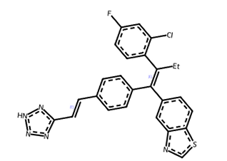 CC/C(=C(/c1ccc(/C=C/c2nn[nH]n2)cc1)c1ccc2scnc2c1)c1ccc(F)cc1Cl